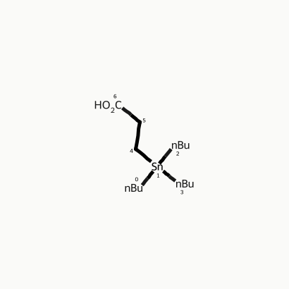 CCC[CH2][Sn]([CH2]CCC)([CH2]CCC)[CH2]CC(=O)O